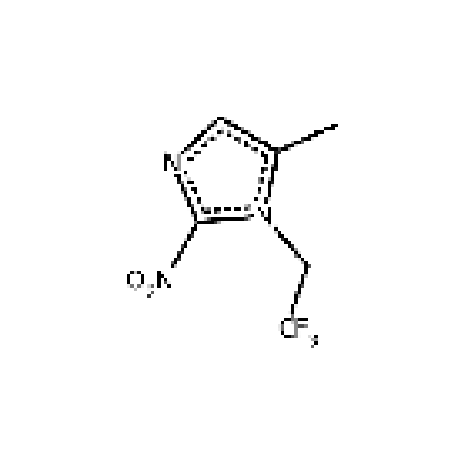 Cc1cnc([N+](=O)[O-])n1CC(F)(F)F